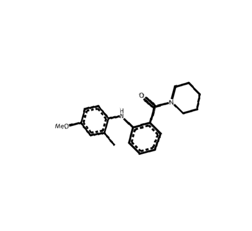 COc1ccc(Nc2ccccc2C(=O)N2CCCCC2)c(C)c1